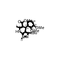 COC(=O)C1=C(C)Nc2c(c(C(C)(C)C)nn2C)C1c1cccc(OC)c1OC